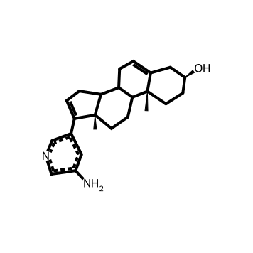 C[C@]12CC[C@H](O)CC1=CCC1C2CC[C@]2(C)C(c3cncc(N)c3)=CCC12